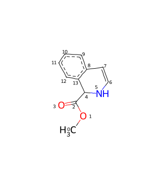 COC(=O)C1NC=Cc2ccccc21